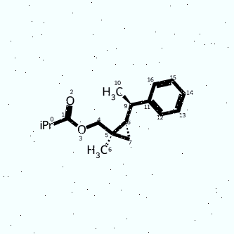 CC(C)C(=O)OC[C@]1(C)C[C@H]1[C@@H](C)c1ccccc1